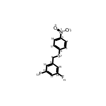 O=[N+]([O-])c1ccc(SCc2cc(F)cc(F)c2)cc1